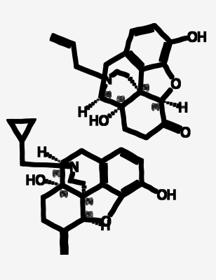 C=C1CC[C@@]2(O)[C@H]3Cc4ccc(O)c5c4[C@@]2(CCN3CC2CC2)[C@H]1O5.C=CCN1CC[C@]23c4c5ccc(O)c4O[C@H]2C(=O)CC[C@@]3(O)[C@H]1C5